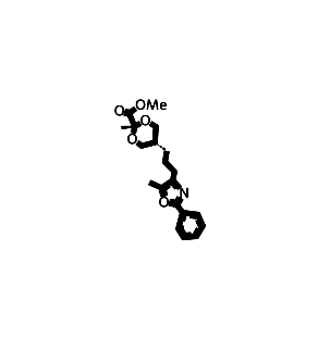 COC(=O)[C@]1(C)OC[C@H](CCCc2nc(-c3ccccc3)oc2C)CO1